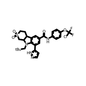 CC(C)(C)CN1c2c(-c3ccn[nH]3)cc(C(=O)Nc3ccc(OC(F)(F)Cl)cc3)cc2C2CCS(=O)(=O)CC21